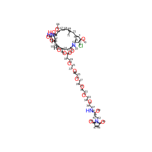 COc1cc2cc(c1Cl)N(C)C(=O)C[C@H](OC(=O)CCOCCOCCOCCOCCOCCOCCNC(=O)CCN1C(=O)C=CC1=O)[C@]1(C)O[C@H]1[C@H](C)[C@@H]1C[C@@](O)(NC(=O)O1)[C@H](OC)/C=C/C=C(\C)C2